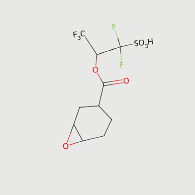 O=C(OC(C(F)(F)F)C(F)(F)S(=O)(=O)O)C1CCC2OC2C1